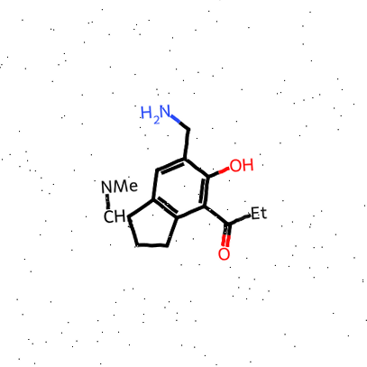 CCC(=O)c1c(O)c(CN)cc2c1CCC2.CNC